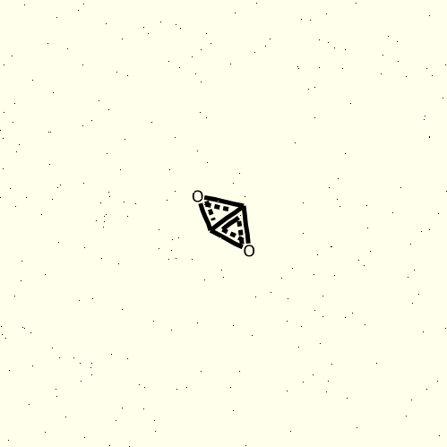 o1c2oc1=2